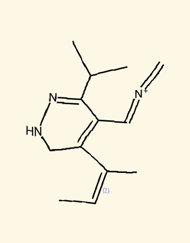 C=[N+]=CC1=C(/C(C)=C\C)CNN=C1C(C)C